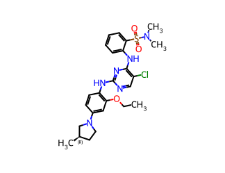 CCOc1cc(N2CC[C@@H](C)C2)ccc1Nc1ncc(Cl)c(Nc2ccccc2S(=O)(=O)N(C)C)n1